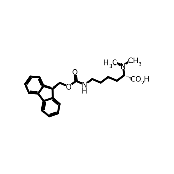 CN(C)[C@@H](CCCCNC(=O)OCC1c2ccccc2-c2ccccc21)C(=O)O